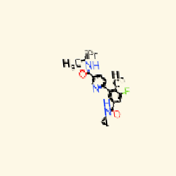 Cc1c(F)cc(C(=O)NC2CC2)cc1-c1ccc(C(=O)NC(C)C(C)C)cn1